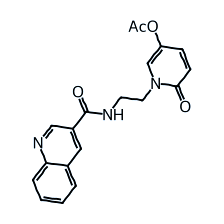 CC(=O)Oc1ccc(=O)n(CCNC(=O)c2cnc3ccccc3c2)c1